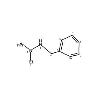 CCCN(CC)NCc1ccccc1